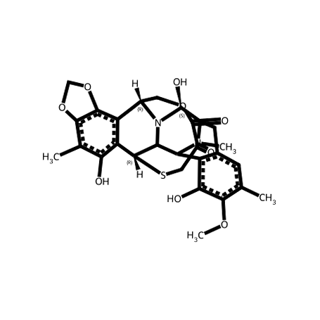 COc1c(C)cc2c(c1O)C1C3[C@@H]4SCC(=O)C(=O)OC[C@@H](c5c6c(c(C)c(O)c54)OCO6)N3[C@@H](O)C(C2)N1C